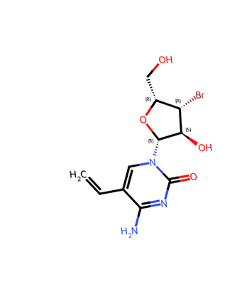 C=Cc1cn([C@@H]2O[C@H](CO)[C@H](Br)[C@H]2O)c(=O)nc1N